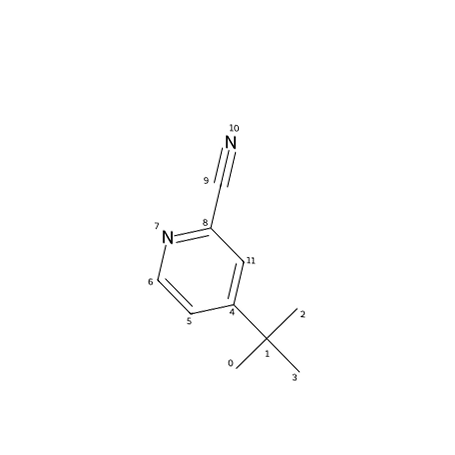 CC(C)(C)c1ccnc(C#N)c1